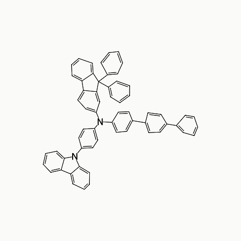 c1ccc(-c2ccc(-c3ccc(N(c4ccc(-n5c6ccccc6c6ccccc65)cc4)c4ccc5c(c4)C(c4ccccc4)(c4ccccc4)c4ccccc4-5)cc3)cc2)cc1